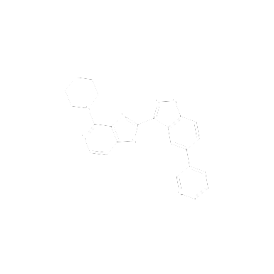 c1cncc(-c2ccc3[nH]nc(-c4nc5c(N6CCOCC6)nccc5[nH]4)c3c2)c1